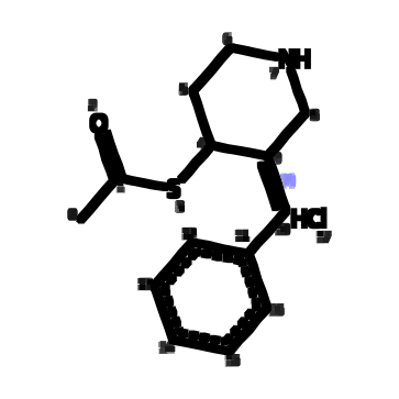 CC(=O)SC1CCNC/C1=C/c1ccccc1.Cl